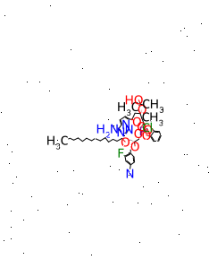 CCCCCCCCCCCCCCOC[C@H](COP(=O)(OC[C@@]1(C)OC(c2ccc3c(N)ncnn23)C[C@@H]1OC(C)(C)O)Oc1ccccc1Cl)OCc1ccc(C#N)cc1F